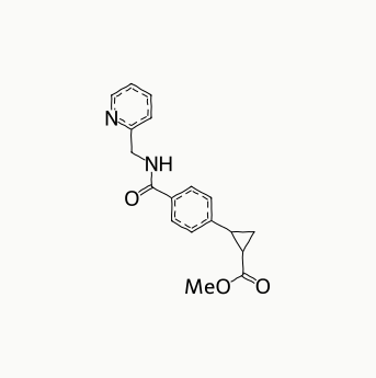 COC(=O)C1CC1c1ccc(C(=O)NCc2ccccn2)cc1